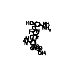 CN1CC=NC1c1cc(S(=O)(=O)CC(=O)O)ccc1Oc1c(F)cnc(Oc2cc(C(=N)N)ccc2O)c1F